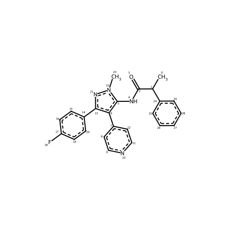 CC(C(=O)Nc1c(-c2ccncc2)c(-c2ccc(F)cc2)nn1C)c1ccccc1